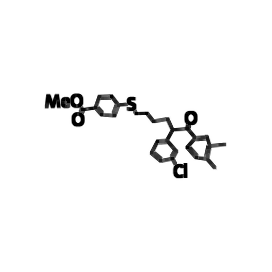 COC(=O)c1ccc(SCCCCC(C(=O)c2ccc(C)c(C)c2)c2cccc(Cl)c2)cc1